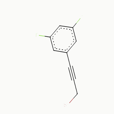 Fc1cc(F)cc(C#CCBr)c1